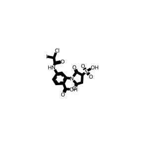 O=C(O)c1ccc(NC(=O)C(Cl)I)cc1N1C(=O)CC(S(=O)(=O)O)C1=O